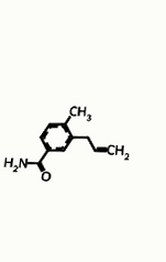 C=CCc1cc(C(N)=O)ccc1C